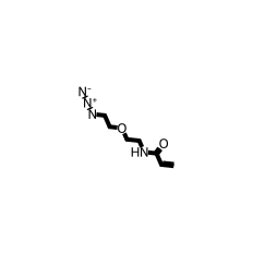 C=CC(=O)NCCOCCN=[N+]=[N-]